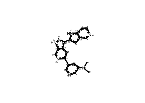 CN(C)c1cncc(-c2cc3c(-c4cc5cnccc5[nH]4)n[nH]c3cn2)c1